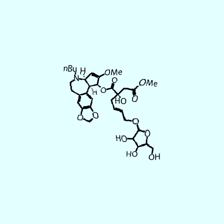 CCCCN1CCc2cc3c(cc2[C@@H]2[C@H](OC(=O)[C@@](O)(C/C=C/COC4OC(CO)C(O)C4O)CC(=O)OC)C(OC)=C[C@@H]21)OCO3